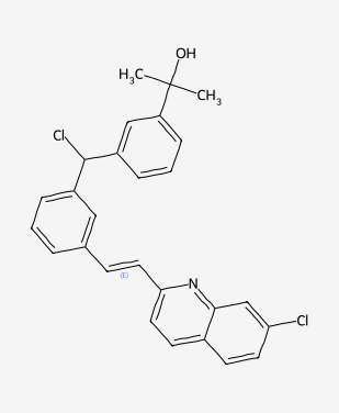 CC(C)(O)c1cccc(C(Cl)c2cccc(/C=C/c3ccc4ccc(Cl)cc4n3)c2)c1